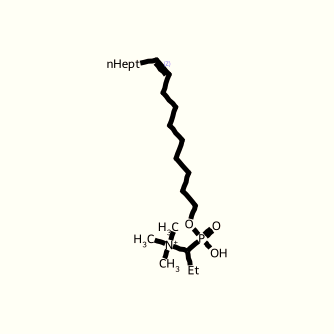 CCCCCCC/C=C\CCCCCCCCOP(=O)(O)C(CC)[N+](C)(C)C